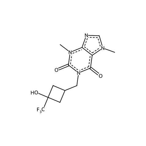 Cn1cnc2c1c(=O)n(CC1CC(O)(C(F)(F)F)C1)c(=O)n2C